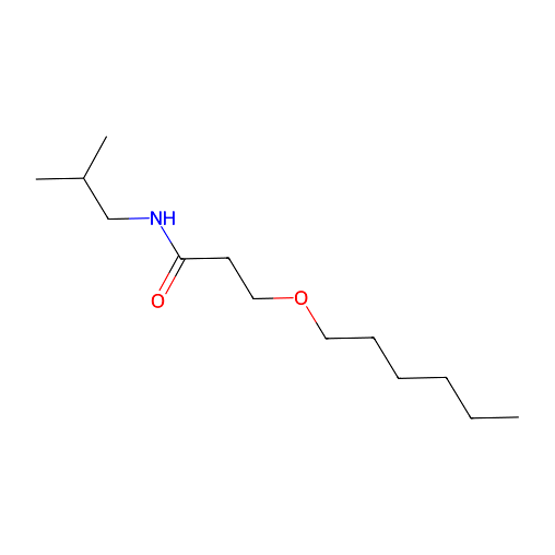 CCCCCCOCCC(=O)NCC(C)C